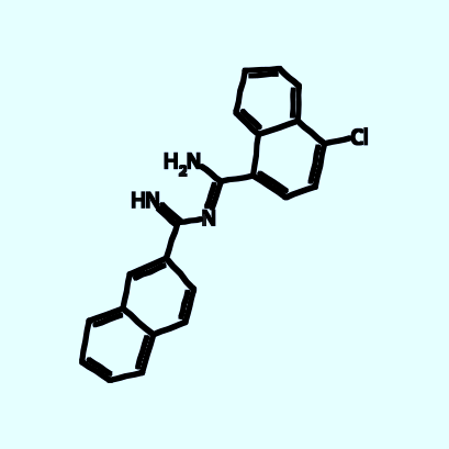 N=C(/N=C(\N)c1ccc(Cl)c2ccccc12)c1ccc2ccccc2c1